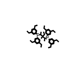 CCc1cc(CC)cc(P(c2cc(CC)cc(CC)c2)C(C)C(C)(CC)C(C)P(c2cc(CC)cc(CC)c2)c2cc(CC)cc(CC)c2)c1